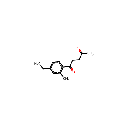 CCc1ccc(C(=O)CCC(C)=O)c(C)c1